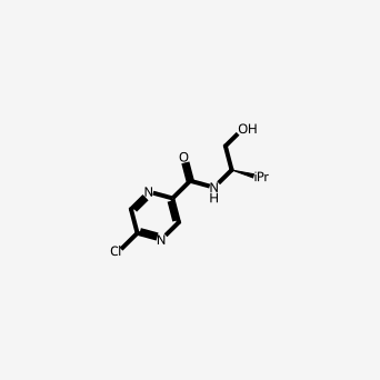 CC(C)[C@H](CO)NC(=O)c1cnc(Cl)cn1